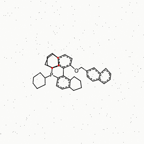 c1ccc2cc(COc3ccc4c(c3-c3c(P(C5CCCCC5)C5CCCCC5)ccc5c3CCCC5)CCCC4)ccc2c1